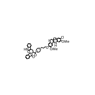 COc1cc(Nc2c(C#N)cnc3cc(OCCCN4CCN(C(=O)C(Cc5c[nH]c6ccccc56)N5C(=O)c6ccccc6C5=O)CC4)c(OC)cc23)c(Cl)cc1Cl